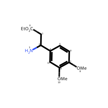 CCOC(=O)CC(N)c1ccc(OC)c(OC)c1